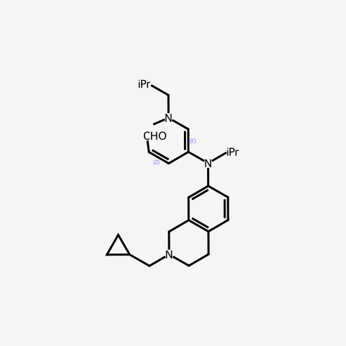 CC(C)CN(C)/C=C(\C=C/C=O)N(c1ccc2c(c1)CN(CC1CC1)CC2)C(C)C